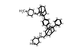 CN1CCN(CC23CC4CC(C2)CC(c2ccc(C56CC7CC(CNC8CCNCC8)(CC(c8ccccc8)(C7)C5)C6)cc2)(C4)C3)CC1